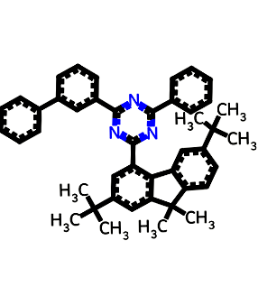 CC(C)(C)c1ccc2c(c1)-c1c(-c3nc(-c4ccccc4)nc(-c4cccc(-c5ccccc5)c4)n3)cc(C(C)(C)C)cc1C2(C)C